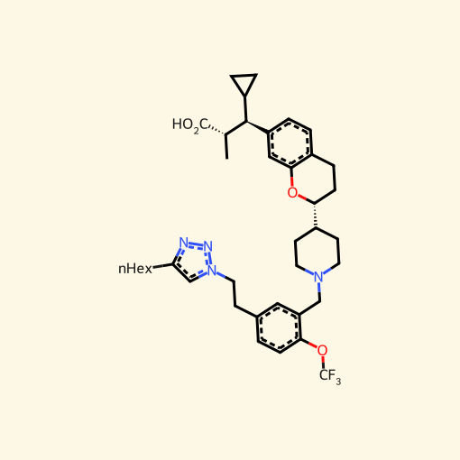 CCCCCCc1cn(CCc2ccc(OC(F)(F)F)c(CN3CCC([C@H]4CCc5ccc([C@H](C6CC6)[C@H](C)C(=O)O)cc5O4)CC3)c2)nn1